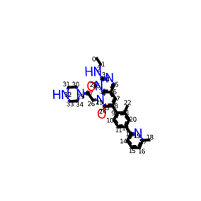 CCNc1ncc2cc(-c3ccc(-c4cccc(C)n4)cc3C)c(=O)n(CC(=O)N3CCNCC3)c2n1